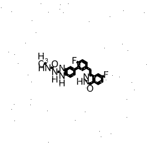 CCNC(=O)Nc1nc2cc(-c3cc(Cc4n[nH]c(=O)c5ccc(F)cc45)ccc3F)ccc2[nH]1